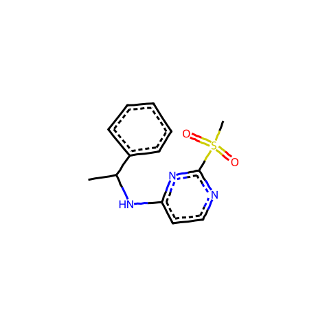 CC(Nc1ccnc(S(C)(=O)=O)n1)c1ccccc1